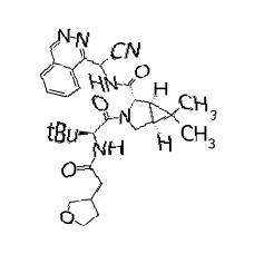 CC(C)(C)[C@H](NC(=O)CC1CCOC1)C(=O)N1C[C@H]2[C@@H]([C@H]1C(=O)NC(C#N)c1nncc3ccccc13)C2(C)C